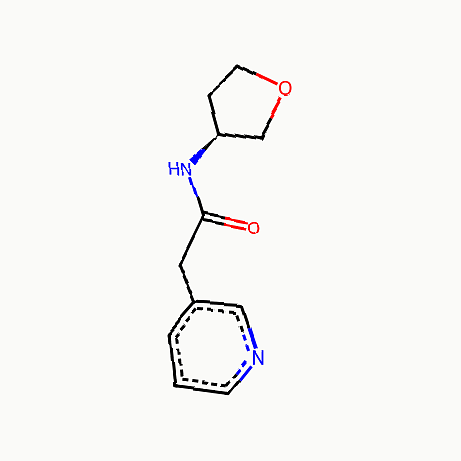 O=C(Cc1cccnc1)N[C@H]1CCOC1